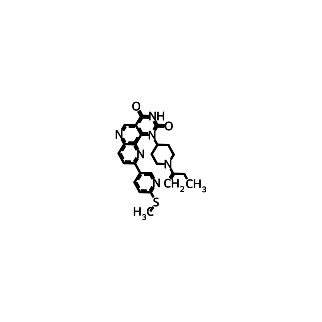 C=C(CC)N1CCC(n2c(=O)[nH]c(=O)c3cnc4ccc(-c5ccc(SC)nc5)nc4c32)CC1